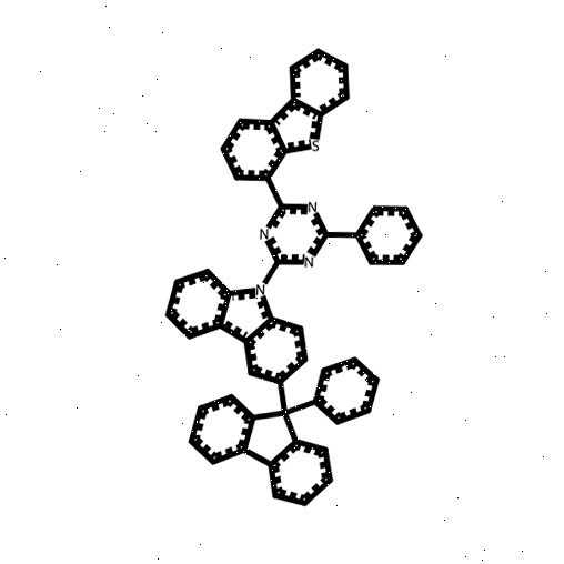 c1ccc(-c2nc(-c3cccc4c3sc3ccccc34)nc(-n3c4ccccc4c4cc(C5(c6ccccc6)c6ccccc6-c6ccccc65)ccc43)n2)cc1